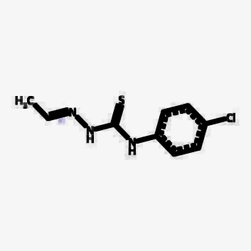 C/C=N/NC(=S)Nc1ccc(Cl)cc1